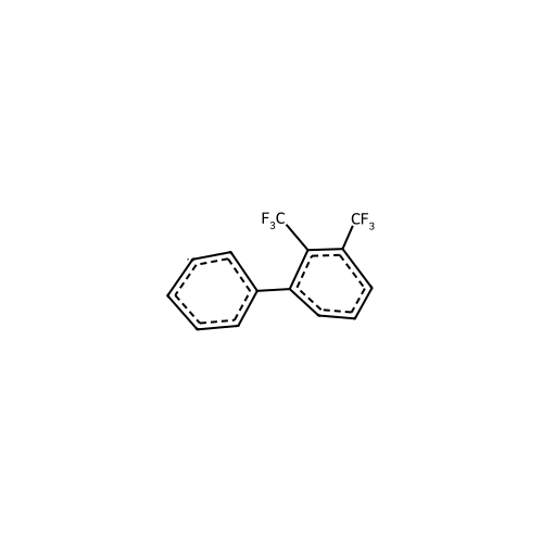 FC(F)(F)c1cccc(-c2c[c]ccc2)c1C(F)(F)F